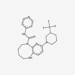 O=C(Nc1ccncc1)N1CCCCNc2ccc(N3CCCC(C(F)(F)F)C3)nc21